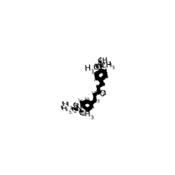 C[N+](C)(C)c1ccc(CCC(=O)CCc2ccc([N+](C)(C)C)cc2)cc1